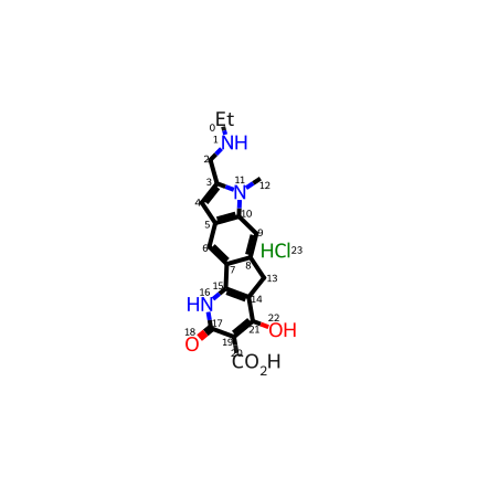 CCNCc1cc2cc3c(cc2n1C)Cc1c-3[nH]c(=O)c(C(=O)O)c1O.Cl